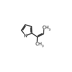 C/C=C(/C)C1=CC=C[N]1